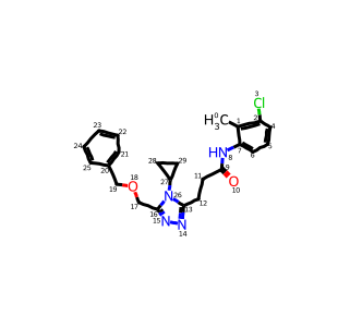 Cc1c(Cl)cccc1NC(=O)CCc1nnc(COCc2ccccc2)n1C1CC1